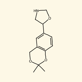 CC1(C)OCc2cc(C3CNCO3)ccc2O1